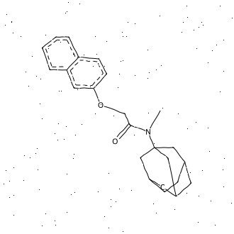 CN(C(=O)COc1ccc2ccccc2c1)C12CC3CCC(CC(C3)C1)C2